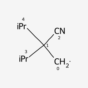 [CH2]C(C#N)(C(C)C)C(C)C